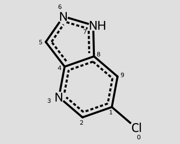 Clc1cnc2cn[nH]c2c1